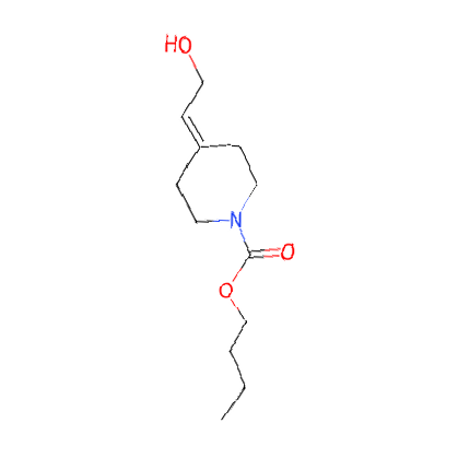 CCCCOC(=O)N1CCC(=CCO)CC1